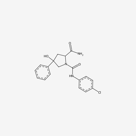 NC(=O)C1CC(O)(c2ccccc2)CN1C(=O)Nc1ccc(Cl)cc1